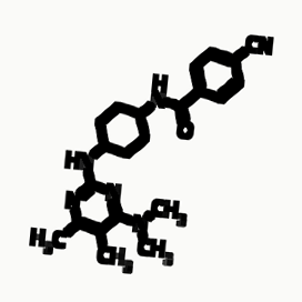 Cc1nc(NC2CCC(NC(=O)c3ccc(C#N)cc3)CC2)nc(N(C)C)c1C